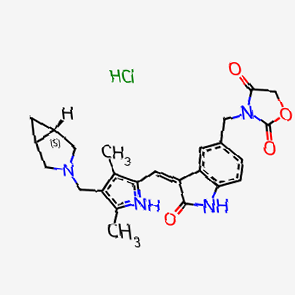 Cc1[nH]c(C=C2C(=O)Nc3ccc(CN4C(=O)COC4=O)cc32)c(C)c1CN1CC2C[C@@H]2C1.Cl